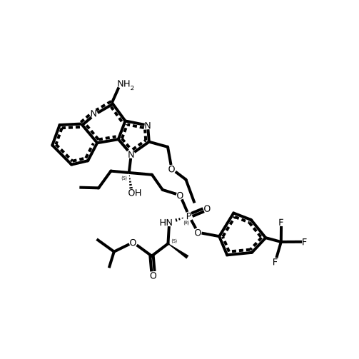 CCC[C@](O)(CCO[P@](=O)(N[C@@H](C)C(=O)OC(C)C)Oc1ccc(C(F)(F)F)cc1)n1c(COCC)nc2c(N)nc3ccccc3c21